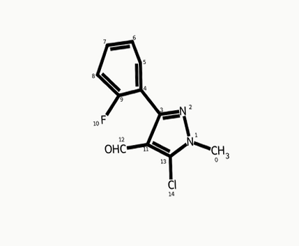 Cn1nc(-c2ccccc2F)c(C=O)c1Cl